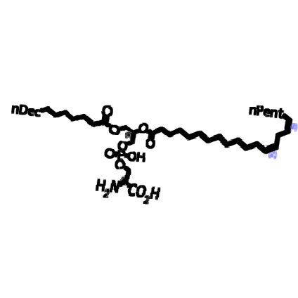 CCCCC/C=C\C/C=C\CCCCCCCCCCCC(=O)O[C@H](COC(=O)CCCCCCCCCCCCCCCC)COP(=O)(O)OC[C@H](N)C(=O)O